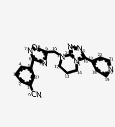 N#Cc1cccc(-c2noc(CN3CCCn4c(-c5ccncc5)nnc43)n2)c1